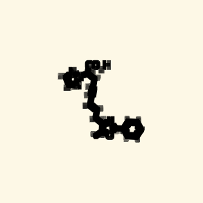 Cc1oc(-c2ccccc2)nc1C/C=C/C#CCC(C(=O)O)n1nccn1